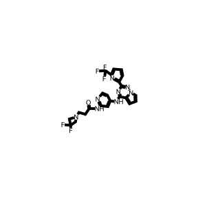 O=C(CCN1CC(F)(F)C1)Nc1cc(Nc2nc(-c3cccc(C(F)(F)F)n3)nn3cccc23)ccn1